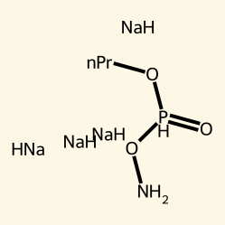 CCCO[PH](=O)ON.[NaH].[NaH].[NaH].[NaH]